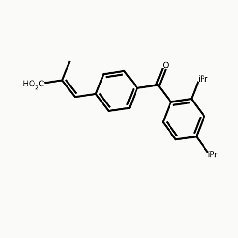 CC(=Cc1ccc(C(=O)c2ccc(C(C)C)cc2C(C)C)cc1)C(=O)O